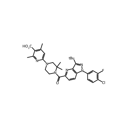 Cc1cc(N2CCN(C(=O)c3ccc4c(n3)c(C(C)(C)C)nn4-c3ccc(Cl)c(F)c3)C(C)(C)C2)nc(C)c1C(=O)O